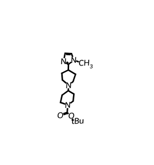 Cn1ccnc1C1CCN(C2CCN(C(=O)OC(C)(C)C)CC2)CC1